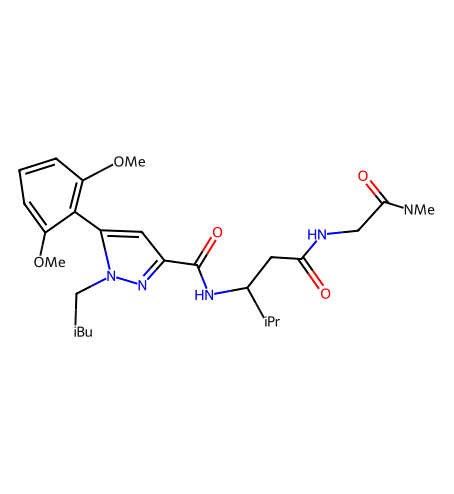 CCC(C)Cn1nc(C(=O)NC(CC(=O)NCC(=O)NC)C(C)C)cc1-c1c(OC)cccc1OC